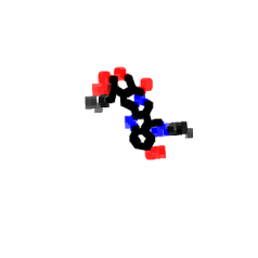 CC[C@@]1(O)C(=O)OCc2c1cc1n(c2=O)Cc2c-1nc1ccc(O)cc1c2CNC